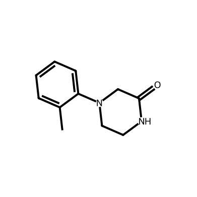 Cc1ccccc1N1CCNC(=O)C1